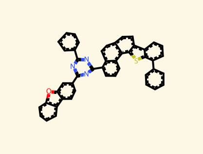 c1ccc(-c2nc(-c3ccc4c(c3)oc3ccccc34)nc(-c3cccc4c3ccc3ccc5c6cccc(-c7ccccc7)c6sc5c34)n2)cc1